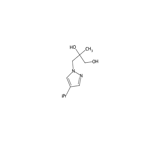 CC(C)c1cnn(CC(C)(O)CO)c1